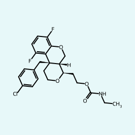 CCNC(=O)OCC[C@H]1OCC[C@]2(Cc3ccc(Cl)cc3)c3c(F)ccc(F)c3OC[C@H]12